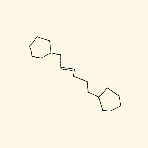 C(=CCC1CCCCC1)CCCC1CCCCC1